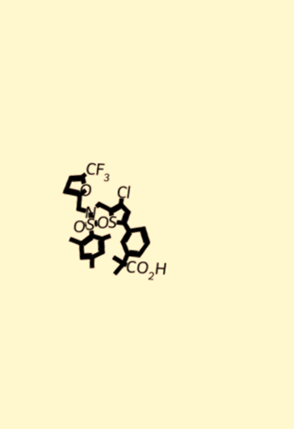 Cc1cc(C)c(S(=O)(=O)N(Cc2ccc(C(F)(F)F)o2)Cc2sc(-c3cccc(C(C)(C)C(=O)O)c3)cc2Cl)c(C)c1